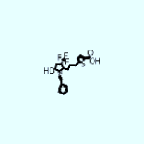 O=C(O)c1ccc(CCCC2[C@@H](C#Cc3ccccc3)C(O)C[C@H]2C(F)(F)F)s1